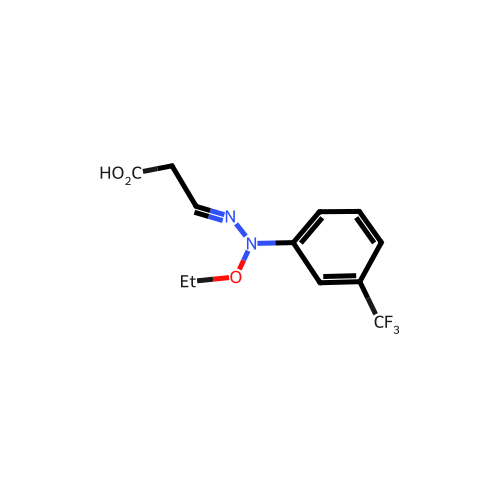 CCON(N=CCC(=O)O)c1cccc(C(F)(F)F)c1